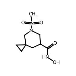 CS(=O)(=O)N1CC(C(=O)NO)CC2(CC2)C1